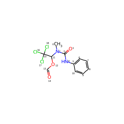 CN(C(=O)Nc1ccccc1)C(OC=O)C(Cl)(Cl)Cl